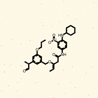 C/C=C(/CC(=O)Nc1ccc(NC2CCCCC2)c([N+](=O)[O-])c1)OCc1cc(OCCC)cc(C(C)C=O)c1